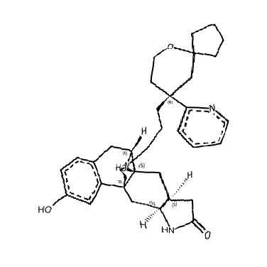 O=C1C[C@@H]2C[C@@]3(O)[C@H]4Cc5ccc(O)cc5[C@@]3(CCN4CC[C@@]3(c4ccccn4)CCOC4(CCCC4)C3)C[C@@H]2N1